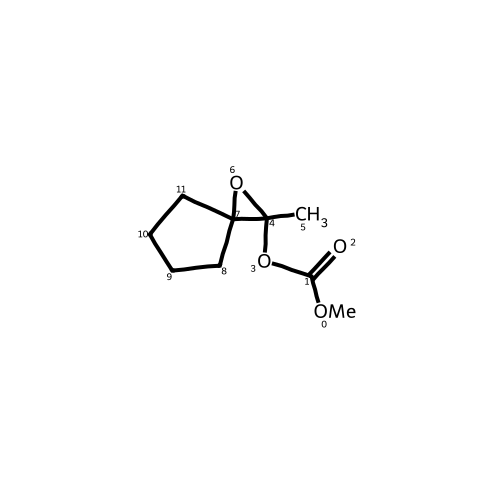 COC(=O)OC1(C)OC12CCCC2